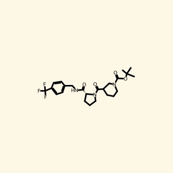 CC(C)(C)OC(=O)N1CCCC(C(=O)N2CCC[C@@H]2C(=O)NCc2ccc(C(F)(F)F)cc2)C1